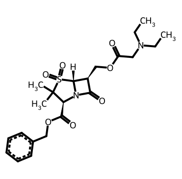 CCN(CC)CC(=O)OC[C@H]1C(=O)N2[C@@H](C(=O)OCc3ccccc3)C(C)(C)S(=O)(=O)[C@H]12